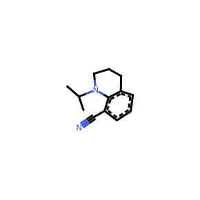 CC(C)N1CCCc2cccc(C#N)c21